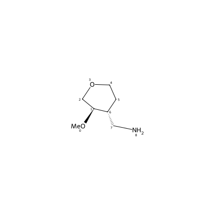 CO[C@H]1COCC[C@@H]1CN